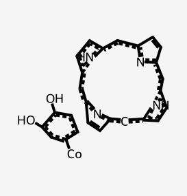 C1=Cc2cc3ccc(cc4nc(cc5ccc(cc1n2)[nH]5)C=C4)[nH]3.Oc1cc[c]([Co])cc1O